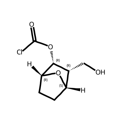 O=C(Cl)O[C@@H]1[C@H](CO)[C@@H]2CC[C@H]1O2